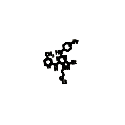 CCOCCn1nc(CC)c2nc(NC3CCN(C(C)C)CC3)nc(Nc3cc(C)ccn3)c21